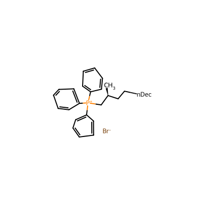 CCCCCCCCCCCC[C@H](C)C[P+](c1ccccc1)(c1ccccc1)c1ccccc1.[Br-]